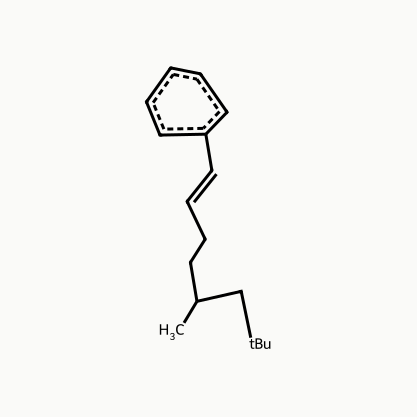 CC(CCC=Cc1ccccc1)CC(C)(C)C